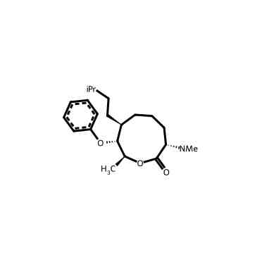 CN[C@H]1CCC[C@H](CCC(C)C)[C@@H](Oc2ccccc2)[C@H](C)OC1=O